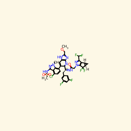 COCc1nc2nc([C@H](Cc3cc(F)cc(F)c3)NC(=O)Cn3nc(C(F)F)c4c3C(F)(F)[C@@H]3C[C@H]43)c(-c3ccc(Cl)c4c(NS(C)(=O)=O)nn(C)c34)cc2[nH]1